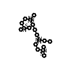 c1ccc(-c2ccc(-c3nc(-c4ccc(-c5ccc(-c6ccc(-c7nc(-c8ccccc8)nc(-c8cccc(-c9cccc(-c%10c%11ccccc%11nc%11c%10sc%10ccccc%10%11)c9)c8)n7)cc6)cc5)cc4)nc(-c4cccc(-c5cccc(-c6c7ccccc7nc7c6sc6ccccc67)c5)c4)n3)cc2)cc1